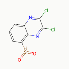 O=[SH](=O)c1cccc2nc(Cl)c(Cl)nc12